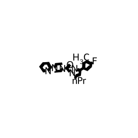 CCCc1cc(-c2ccc(F)c(C)c2)nn1CC(=O)N1CCN(c2ccccn2)CC1